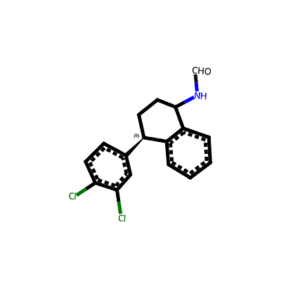 O=CNC1CC[C@H](c2ccc(Cl)c(Cl)c2)c2ccccc21